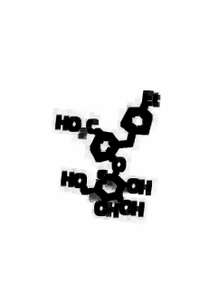 CCc1ccc(Cc2cc(C(=O)O)ccc2O[C@@H]2S[C@H](CO)[C@@H](O)[C@H](O)[C@H]2O)cc1